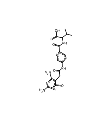 CC(C)C(NC(=O)c1ccc(NC(=O)Cc2c(N)nc(N)[nH]c2=O)cn1)C(=O)O